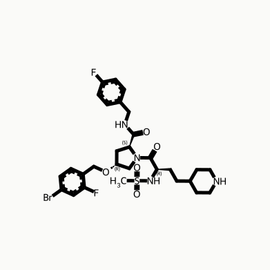 CS(=O)(=O)N[C@H](CCC1CCNCC1)C(=O)N1C[C@H](OCc2ccc(Br)cc2F)C[C@H]1C(=O)NCc1ccc(F)cc1